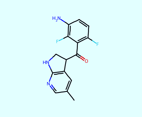 Cc1cnc2c(c1)C(C(=O)c1c(F)ccc(N)c1F)CN2